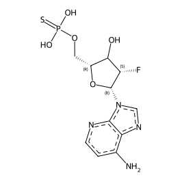 Nc1ccnc2c1ncn2[C@@H]1O[C@H](COP(O)(O)=S)C(O)[C@@H]1F